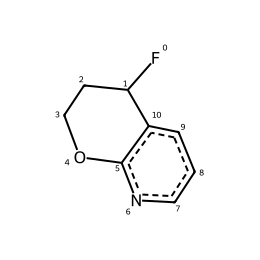 FC1CCOc2ncccc21